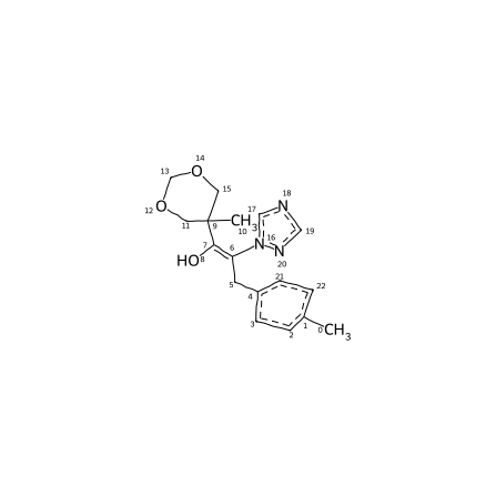 Cc1ccc(CC(=C(O)C2(C)COCOC2)n2cncn2)cc1